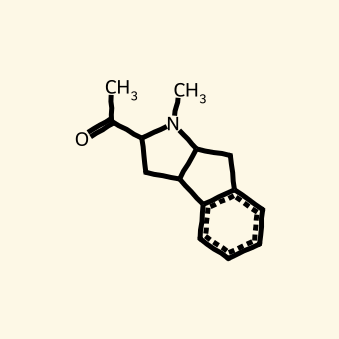 CC(=O)C1CC2c3ccccc3CC2N1C